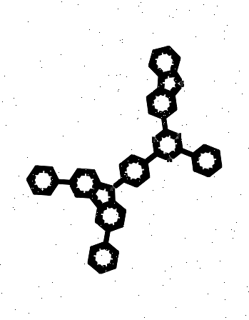 c1ccc(-c2ccc3c(c2)c2cc(-c4ccccc4)ccc2n3-c2ccc(-c3nc(-c4ccccc4)nc(-c4ccc5c(c4)sc4ccccc45)n3)cc2)cc1